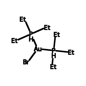 CC[PH](CC)(CC)[Au]([Br])[PH](CC)(CC)CC